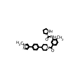 Cc1ccc(C(=O)N2CCC(c3ccc(-c4cnn(C)c4)cc3)CC2)cc1NC(=O)[C@@H]1CCCN1